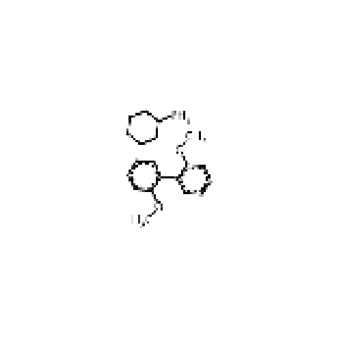 COc1ccccc1-c1ccccc1OC.PC1CCCCC1